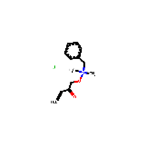 C=CC(=O)CO[N+](C)(C)Cc1ccccc1.[Cl-]